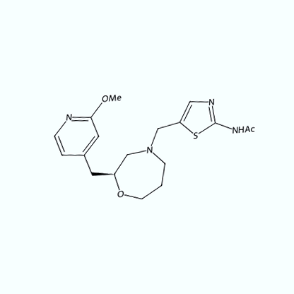 COc1cc(C[C@H]2CN(Cc3cnc(NC(C)=O)s3)CCCO2)ccn1